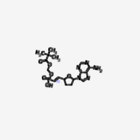 CC(C)(C)C(=O)OCOP(=O)(O)/C=C/C1CCC(n2cnc3c(N)ncnc32)O1